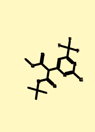 COC(=O)C(C(=O)OC(C)(C)C)c1cc(C(F)(F)F)nc(Cl)n1